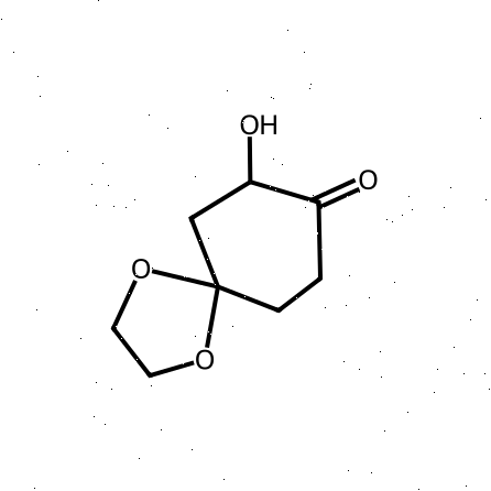 O=C1CCC2(CC1O)OCCO2